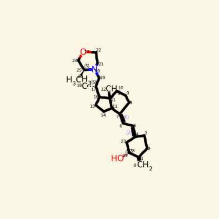 C=C1CC/C(=C/C=C2\CCCC3(C)C2CCC3[C@H](C)CN2CCOC[C@@H]2C)C[C@H]1O